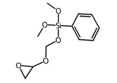 CO[Si](OC)(OCOC1CO1)c1ccccc1